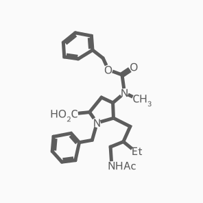 CCC(CNC(C)=O)CC1C(N(C)C(=O)OCc2ccccc2)CC(C(=O)O)N1Cc1ccccc1